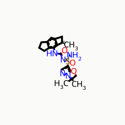 C[C@@H]1Cc2cc3c(c(NC(=O)N=[S@](N)(=O)c4cnn5c4OCC5(C)C)c21)CCC3